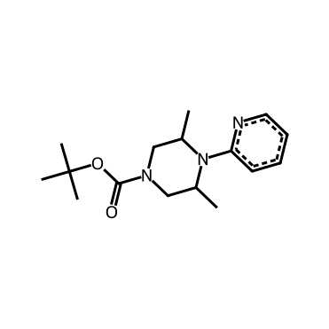 CC1CN(C(=O)OC(C)(C)C)CC(C)N1c1ccccn1